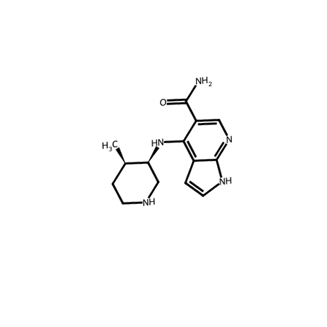 C[C@@H]1CCNC[C@@H]1Nc1c(C(N)=O)cnc2[nH]ccc12